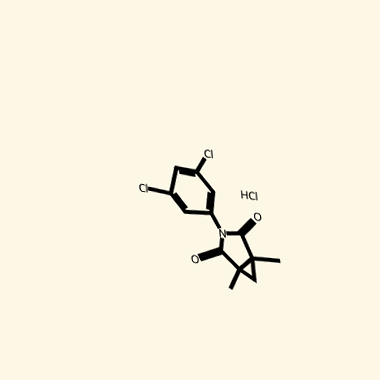 CC12CC1(C)C(=O)N(c1cc(Cl)cc(Cl)c1)C2=O.Cl